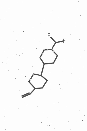 C=CC1CCC(C2CCC(C(F)F)CC2)CC1